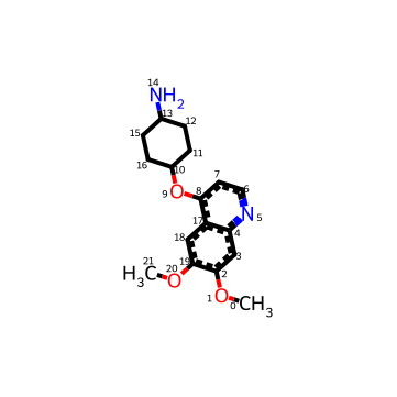 COc1cc2nccc(OC3CCC(N)CC3)c2cc1OC